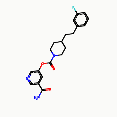 NC(=O)c1cncc(OC(=O)N2CCC(CCc3cccc(F)c3)CC2)c1